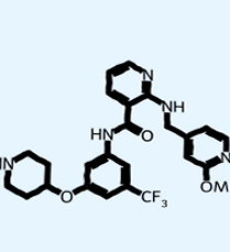 COc1cc(CNc2ncccc2C(=O)Nc2cc(OC3CCNCC3)cc(C(F)(F)F)c2)ccn1